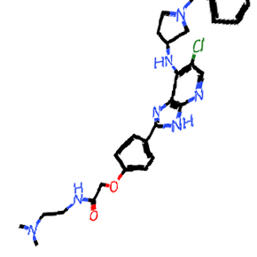 CN(C)CCNC(=O)COc1ccc(-c2nc3c(NC4CCN(Cc5ccccc5)C4)c(Cl)cnc3[nH]2)cc1